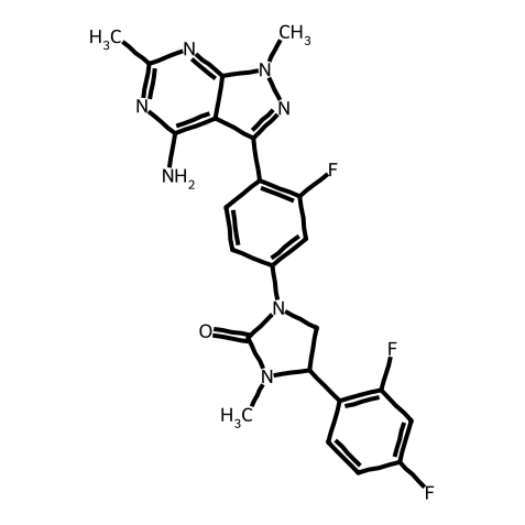 Cc1nc(N)c2c(-c3ccc(N4CC(c5ccc(F)cc5F)N(C)C4=O)cc3F)nn(C)c2n1